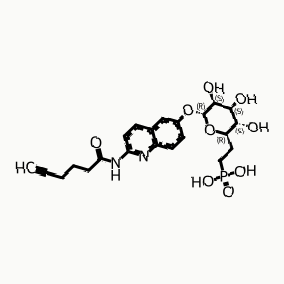 C#CCCCC(=O)Nc1ccc2cc(O[C@H]3O[C@H](CCP(=O)(O)O)[C@@H](O)[C@H](O)[C@@H]3O)ccc2n1